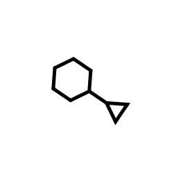 C1CCC(C2CC2)CC1